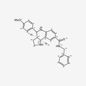 COc1ccc(C2Nc3ccc(C(=O)NCc4ccccn4)cc3[C@H]3NCC[C@@H]23)cc1